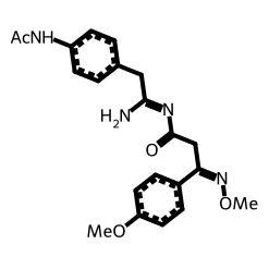 CO/N=C(/CC(=O)/N=C(\N)Cc1ccc(NC(C)=O)cc1)c1ccc(OC)cc1